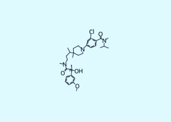 COc1cccc([C@@](C)(O)C(=O)N(C)CCC(C)C2(C)CCN(c3ccc(C(=O)N(C)C(C)C)c(Cl)c3)CC2)c1